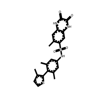 Cc1cc2[nH]c(=O)c(=O)[nH]c2cc1S(=O)(=O)Nc1cc(C)c(-c2sccc2C)c(C)c1